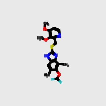 COc1ccnc(CSc2nc3c(C)c(OC(F)F)c(C)cc3[nH]2)c1OC